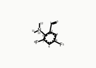 C=Cc1cc(F)cc(F)c1N(C)C